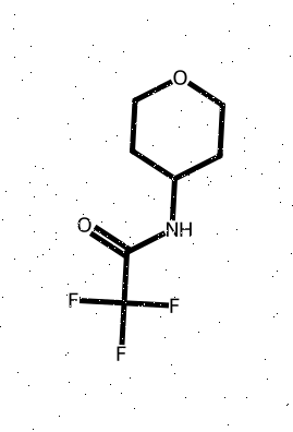 O=C(NC1CCOCC1)C(F)(F)F